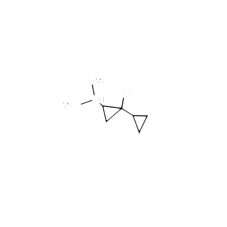 CO[SiH](OC)C1CC1(C)C1CC1